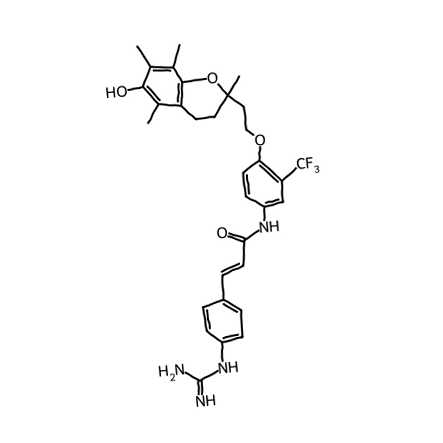 Cc1c(C)c2c(c(C)c1O)CCC(C)(CCOc1ccc(NC(=O)C=Cc3ccc(NC(=N)N)cc3)cc1C(F)(F)F)O2